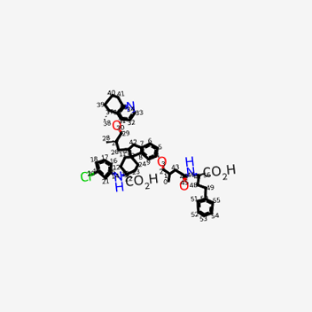 CC(COc1ccc2c(c1)C1(CCC(Nc3cccc(Cl)c3)(C(=O)O)CC1)C(C[C@@H](C)COc1ccnc3c1[C@H](C)CCC3)C2)CC(=O)N[C@H](CCc1ccccc1)C(=O)O